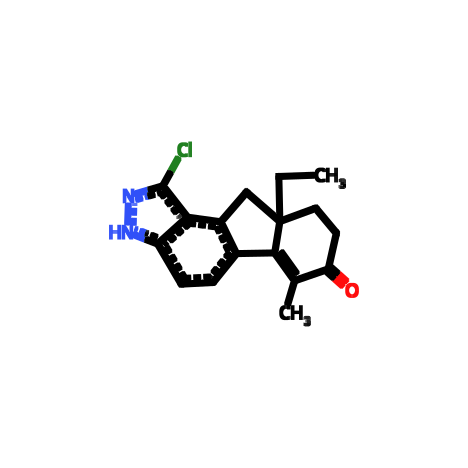 CCC12CCC(=O)C(C)=C1c1ccc3[nH]nc(Cl)c3c1C2